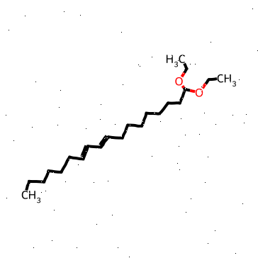 CCCCCCC=CC=CCCCCCCCC(OCC)OCC